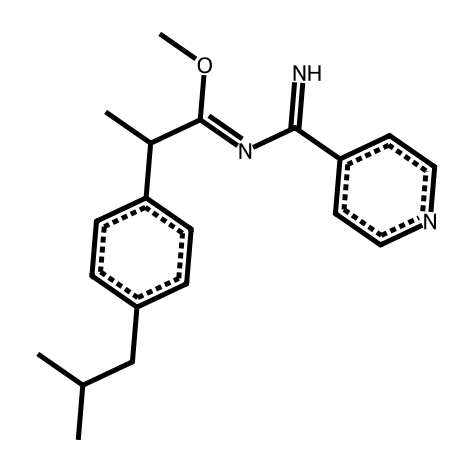 CO/C(=N\C(=N)c1ccncc1)C(C)c1ccc(CC(C)C)cc1